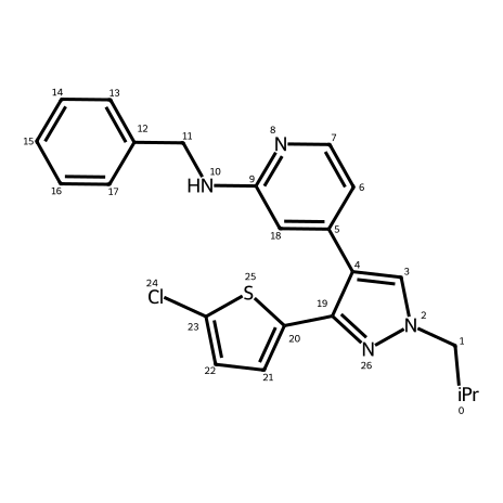 CC(C)Cn1cc(-c2ccnc(NCc3ccccc3)c2)c(-c2ccc(Cl)s2)n1